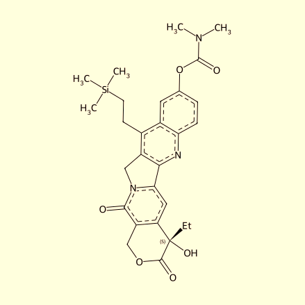 CC[C@@]1(O)C(=O)OCc2c1cc1n(c2=O)Cc2c-1nc1ccc(OC(=O)N(C)C)cc1c2CC[Si](C)(C)C